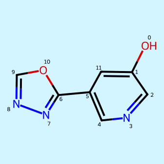 Oc1cncc(-c2nnco2)c1